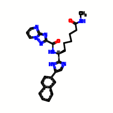 CNC(=O)CCCCC[C@H](NC(=O)c1nc2ncccn2n1)c1ncc(-c2ccc3ccccc3c2)[nH]1